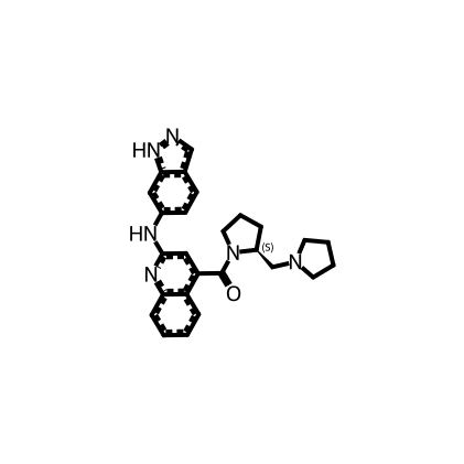 O=C(c1cc(Nc2ccc3cn[nH]c3c2)nc2ccccc12)N1CCC[C@H]1CN1CCCC1